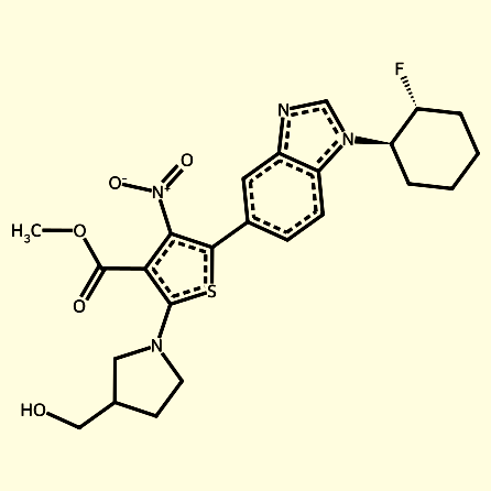 COC(=O)c1c(N2CCC(CO)C2)sc(-c2ccc3c(c2)ncn3[C@@H]2CCCC[C@H]2F)c1[N+](=O)[O-]